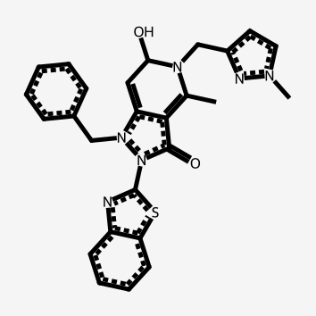 CC1=c2c(n(Cc3ccccc3)n(-c3nc4ccccc4s3)c2=O)=CC(O)N1Cc1ccn(C)n1